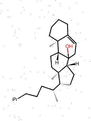 CC(C)CCC[C@@H](C)[C@H]1CC[C@H]2C3(O)CC=C4CCCC[C@]4(C)[C@H]3CC[C@]12C